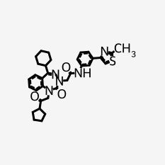 Cc1nc(-c2cccc(NC(=O)CN3N=C(C4CCCCC4)c4ccccc4N(CC(=O)C4CCCC4)C3=O)c2)cs1